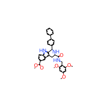 COC(=O)c1ccc2[nH]c3c(c2c1)CC(C(=O)NCc1c(OC)cc(OC)cc1OC)NC3c1ccc(-c2ccccc2)cc1